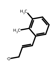 Cc1cccc(C=CC[O])c1C